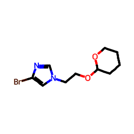 Brc1cn(CCOC2CCCCO2)cn1